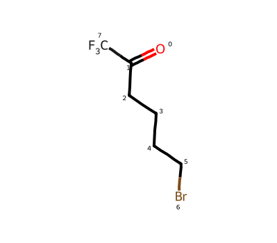 O=C(CCCCBr)C(F)(F)F